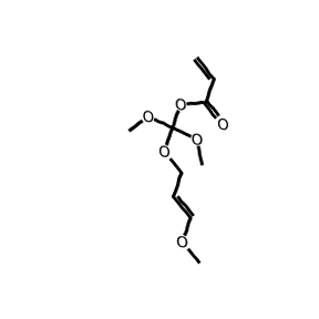 C=CC(=O)OC(OC)(OC)OCC=COC